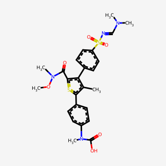 CON(C)C(=O)c1sc(-c2ccc(N(C)C(=O)O)cc2)c(C)c1-c1ccc(S(=O)(=O)N=CN(C)C)cc1